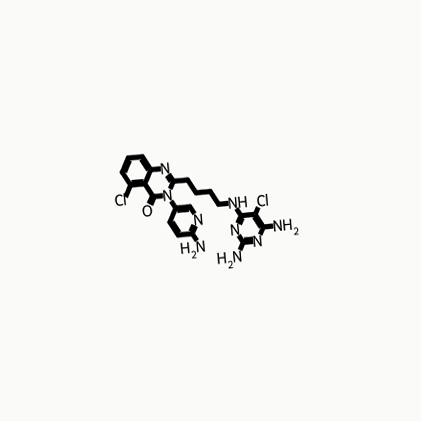 Nc1ccc(-n2c(CCCCNc3nc(N)nc(N)c3Cl)nc3cccc(Cl)c3c2=O)cn1